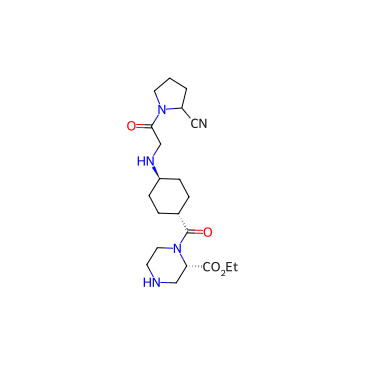 CCOC(=O)[C@@H]1CNCCN1C(=O)[C@H]1CC[C@H](NCC(=O)N2CCCC2C#N)CC1